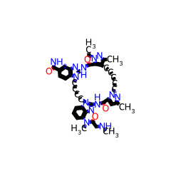 CCn1nc(C)c2c1C(=O)Nc1nc3cc(C(N)=O)ccc3n1CCCCn1c(nc3c(N(C)C(=O)CNC)cccc31)NC(=O)c1cc(C)nn1CCCCC2